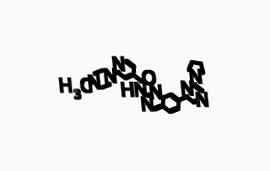 CN1CCN(c2cc(C(=O)Nc3ncc4ccc(-c5cncc(N6CCCC6)n5)cc4n3)ccn2)CC1